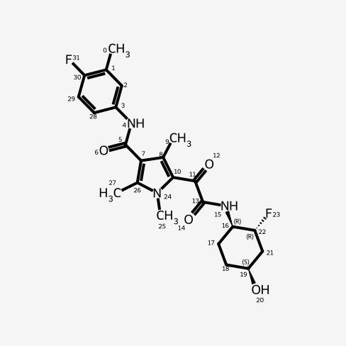 Cc1cc(NC(=O)c2c(C)c(C(=O)C(=O)N[C@@H]3CC[C@H](O)C[C@H]3F)n(C)c2C)ccc1F